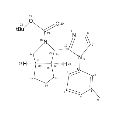 Cc1cccc(-n2ccnc2[C@@H]2[C@H]3CCC[C@H]3CN2C(=O)OC(C)(C)C)c1